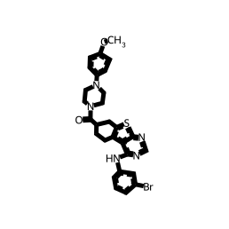 COc1ccc(N2CCN(C(=O)C3CCc4c(sc5ncnc(Nc6cccc(Br)c6)c45)C3)CC2)cc1